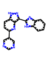 c1ccc2[nH]c(-c3n[nH]c4ccc(-c5cncnc5)nc34)nc2c1